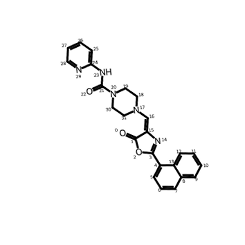 O=C1OC(c2cccc3ccccc23)=N/C1=C/N1CCN(C(=O)Nc2ccccn2)CC1